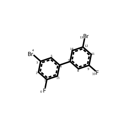 Fc1cc(Br)cc(-c2cc(F)cc(Br)c2)c1